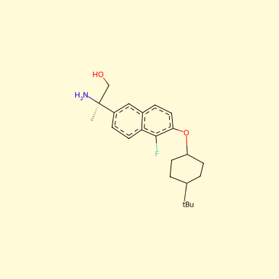 CC(C)(C)C1CCC(Oc2ccc3cc([C@@](C)(N)CO)ccc3c2F)CC1